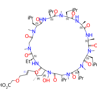 CC[C@@H]1NC(=O)C([C@H](O)[C@H](C)C/C=C/COCC(=O)O)N(C)C(=O)C(C(C)C)N(C)C(=O)[C@H](CC(C)C)N(C)C(=O)[C@H](CC(C)C)N(C)C(=O)[C@H](C)NC(=O)[C@H](C)NC(=O)[C@H](CC(C)C)N(C)C(=O)[C@H](C(C)C)NC(=O)[C@H](CC(C)C)N(C)C(=O)CN(C)C1=O